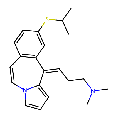 CC(C)Sc1ccc2c(c1)C(=CCCN(C)C)c1cccn1C=C2